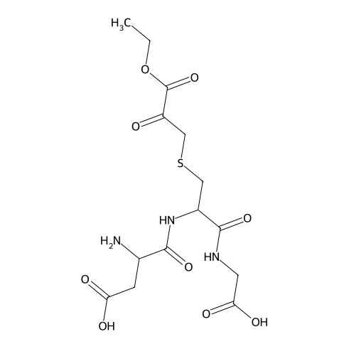 CCOC(=O)C(=O)CSCC(NC(=O)C(N)CC(=O)O)C(=O)NCC(=O)O